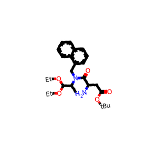 CCOC(OCC)C(C)N(Cc1cccc2ccccc12)C(=O)C(N)CC(=O)OC(C)(C)C